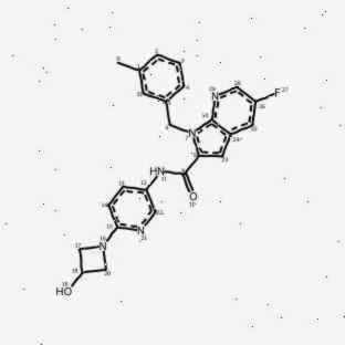 Cc1cccc(Cn2c(C(=O)Nc3ccc(N4CC(O)C4)nc3)cc3cc(F)cnc32)c1